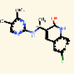 COc1nc(N[C@@H](C)C2=Cc3cc(Cl)ccc3NC2O)ncc1C#N